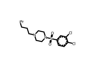 CC(C)CCCN1CCN(S(=O)(=O)c2ccc(Cl)c(Cl)c2)CC1